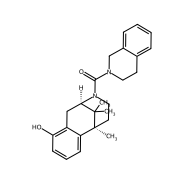 CC1(C)[C@H]2Cc3c(O)cccc3[C@]1(C)CCN2C(=O)N1CCc2ccccc2C1